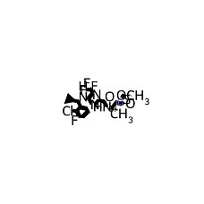 C[C@H](/C=C/S(C)(=O)=O)NC(=O)c1ncc(NC(c2cccc(F)c2Cl)C2CC2)c(C(F)(F)F)n1